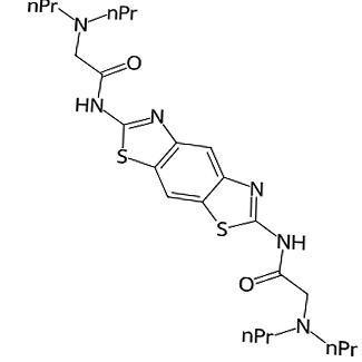 CCCN(CCC)CC(=O)Nc1nc2cc3nc(NC(=O)CN(CCC)CCC)sc3cc2s1